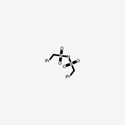 CC(C)CS(=O)(=O)[N]S(=O)(=O)CC(C)C